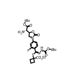 CCOC(=O)C1(S/C(=N/NC(=O)OC(C)(C)C)c2ccc(N3CC([C@H](N)C(=O)OC(C)(C)C)OC3=O)cc2F)CCC1